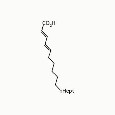 CCCCCCCCCCCCC=CC=CC(=O)O